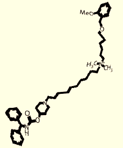 COc1ccccc1COCCCCCC[N+](C)(C)CCCCCCCCCCN1CCC(OC(=O)NC(c2ccccc2)c2ccccc2)CC1